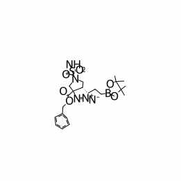 CC1(C)OB(CCC[C@H]2CN(S(N)(=O)=O)CC2(N=[N+]=[N-])C(=O)OCc2ccccc2)OC1(C)C